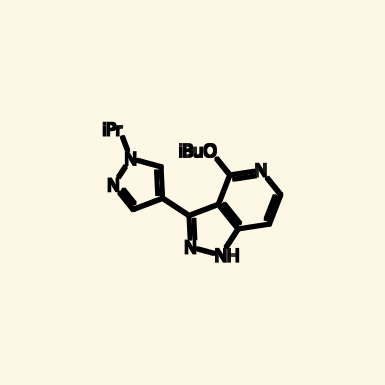 CC(C)COc1nccc2[nH]nc(-c3cnn(C(C)C)c3)c12